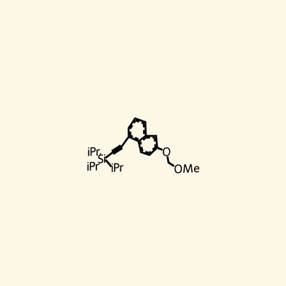 COCOc1ccc2c(C#C[Si](C(C)C)(C(C)C)C(C)C)cccc2c1